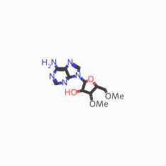 COCC1OC(n2cnc3c(N)ncnc32)C(O)C1OC